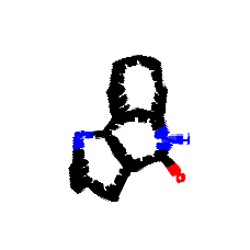 O=c1[nH]c2ccccc2c2ncccc12